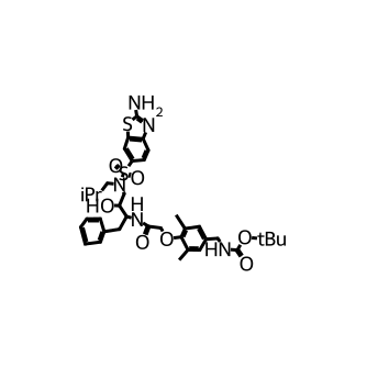 Cc1cc(CNC(=O)OC(C)(C)C)cc(C)c1OCC(=O)NC(Cc1ccccc1)C(O)CN(CC(C)C)S(=O)(=O)c1ccc2nc(N)sc2c1